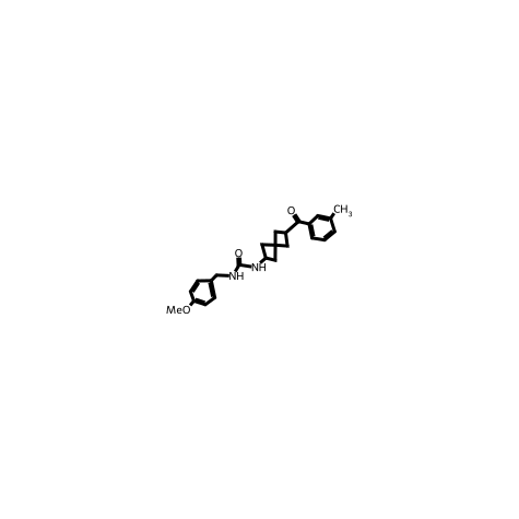 COc1ccc(CNC(=O)NC2CC3(C2)CC(C(=O)c2cccc(C)c2)C3)cc1